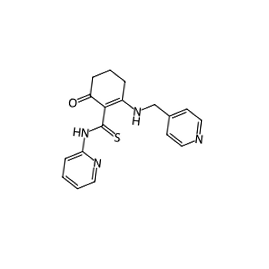 O=C1CCCC(NCc2ccncc2)=C1C(=S)Nc1ccccn1